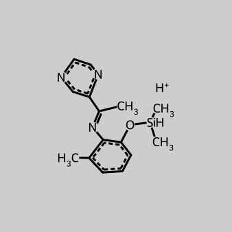 CC(=Nc1c(C)cccc1O[SiH](C)C)c1cnccn1.[H+]